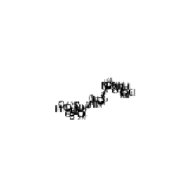 O=C1CCC(N2C(=O)c3cccc(NCCNC(=O)c4cccc(C#Cc5cc(NC(=O)Nc6ccnc(Cl)c6)ccn5)c4)c3C2=O)C(=O)N1